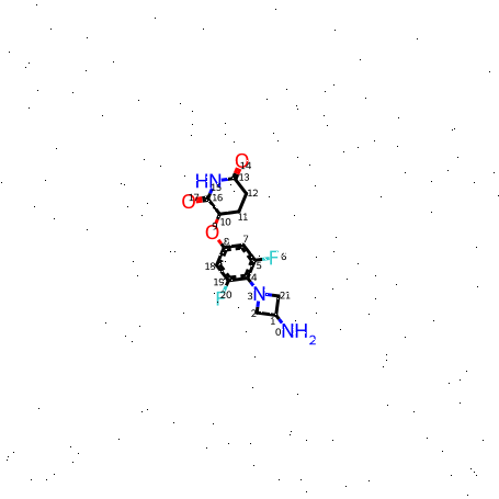 NC1CN(c2c(F)cc(OC3CCC(=O)NC3=O)cc2F)C1